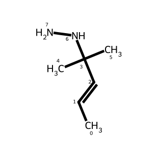 CC=CC(C)(C)NN